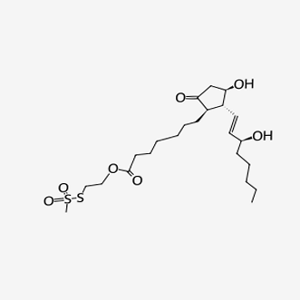 CCCCC[C@H](O)/C=C/[C@H]1[C@H](O)CC(=O)[C@@H]1CCCCCCC(=O)OCCSS(C)(=O)=O